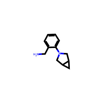 NCc1ccccc1N1CC2CC2C1